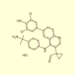 CC(C)(N)c1ccc(Nc2c(C3(C=O)CC3)cnc3ccc(-c4cc(Cl)c(O)c(Cl)c4)cc23)cc1.Cl